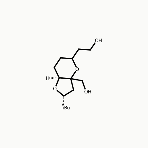 CCCC[C@H]1CC2(CO)OC(CCO)CC[C@@H]2O1